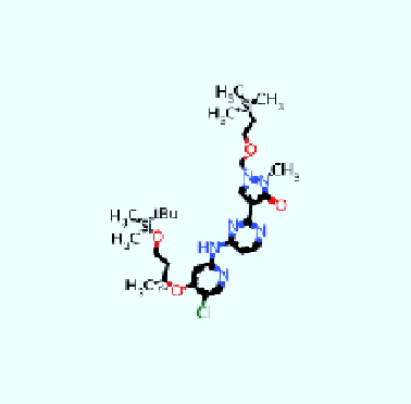 C[C@@H](CCO[Si](C)(C)C(C)(C)C)Oc1cc(Nc2ccnc(-c3cn(COCC[Si](C)(C)C)n(C)c3=O)n2)ncc1Cl